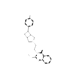 COc1nc2ccccc2c(=O)n1CCN1CC2CC(c3ccc(F)cc3)C2C1